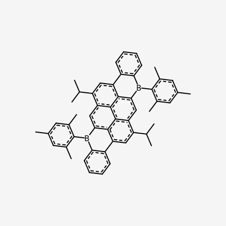 Cc1cc(C)c(B2c3ccccc3-c3cc(C(C)C)c4cc5c6c(cc(C(C)C)c7cc2c3c4c76)-c2ccccc2B5c2c(C)cc(C)cc2C)c(C)c1